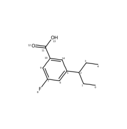 CCC(CC)c1cc(F)cc(C(=O)O)c1